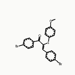 COc1ccc(SC(=Cc2ccc(Br)cc2)C(=O)c2ccc(Br)cc2)cc1